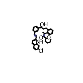 C/C(=C(\O)C1CCCCO1)c1ccccc1CC[C@H](O)c1cccc(/C=C/c2ccc3ccc(Cl)cc3n2)c1